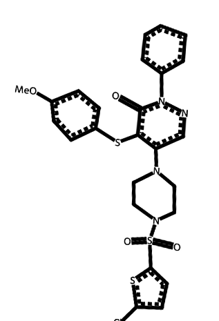 COc1ccc(Sc2c(N3CCN(S(=O)(=O)c4ccc(Cl)s4)CC3)cnn(-c3ccccc3)c2=O)cc1